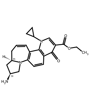 CCOC(=O)c1cn(C2CC2)c2c3c(ccc2c1=O)N1C[C@@H](N)C[C@H]1CC=C3